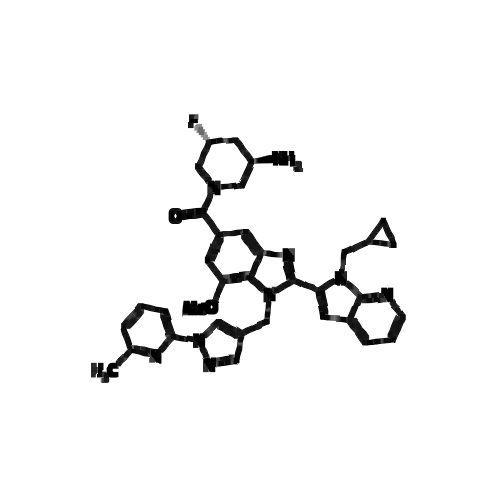 COc1cc(C(=O)N2C[C@H](N)C[C@@H](F)C2)cc2nc(-c3cc4cccnc4n3CC3CC3)n(Cc3cnn(-c4cccc(C)n4)c3)c12